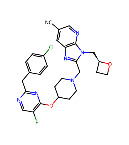 N#Cc1cnc2c(c1)nc(CN1CCC(Oc3nc(Cc4ccc(Cl)cc4)ncc3F)CC1)n2C[C@@H]1CCO1